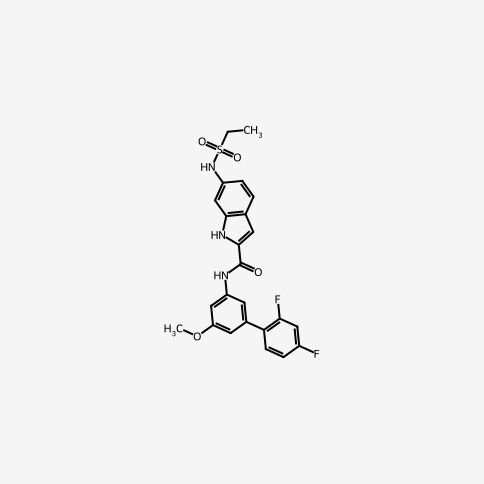 CCS(=O)(=O)Nc1ccc2cc(C(=O)Nc3cc(OC)cc(-c4ccc(F)cc4F)c3)[nH]c2c1